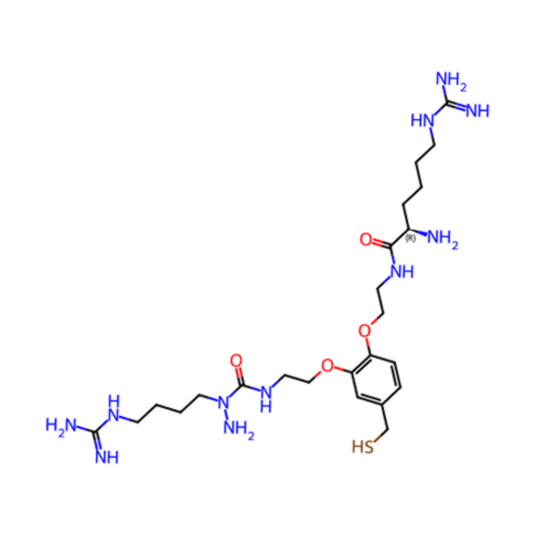 N=C(N)NCCCC[C@@H](N)C(=O)NCCOc1ccc(CS)cc1OCCNC(=O)N(N)CCCCNC(=N)N